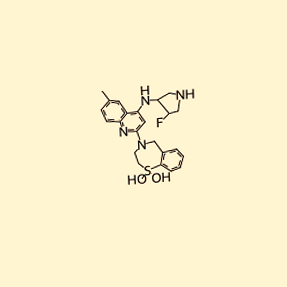 Cc1ccc2nc(N3CCS(O)(O)c4ccccc4C3)cc(NC3CNCC3F)c2c1